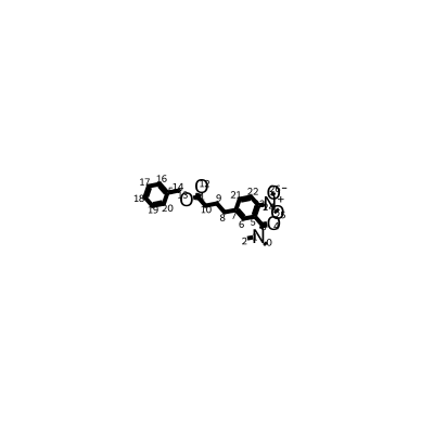 CN(C)C(=O)c1cc(CCCC(=O)OCc2ccccc2)ccc1[N+](=O)[O-]